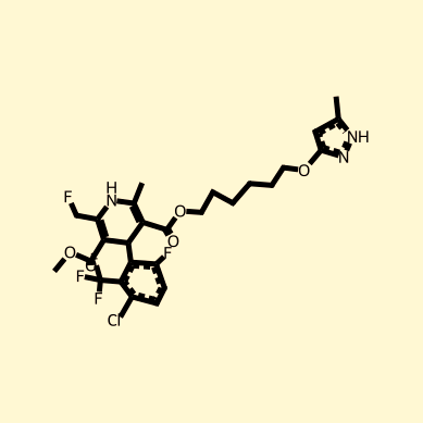 COC(=O)C1=C(CF)NC(C)=C(C(=O)OCCCCCCOc2cc(C)[nH]n2)C1c1c(F)ccc(Cl)c1C(F)(F)F